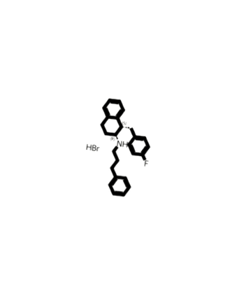 Br.Fc1ccc(C[C@H]2c3ccccc3CC[C@H]2NCCCc2ccccc2)cc1